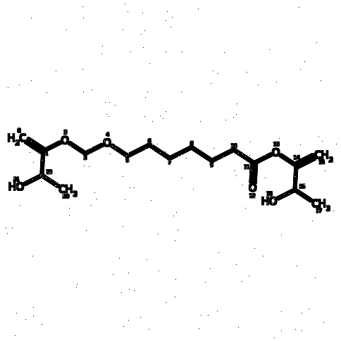 C=C(OCOCCCCCCC(=O)OC(=C)C(C)O)C(C)O